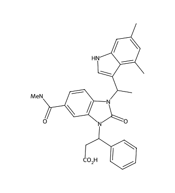 CNC(=O)c1ccc2c(c1)n(C(CC(=O)O)c1ccccc1)c(=O)n2C(C)c1c[nH]c2cc(C)cc(C)c12